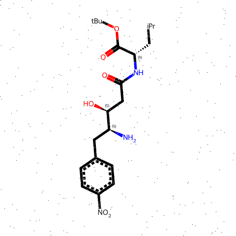 CC(C)C[C@H](NC(=O)C[C@H](O)[C@@H](N)Cc1ccc([N+](=O)[O-])cc1)C(=O)OC(C)(C)C